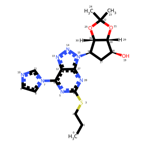 CCCSc1nc(-n2ccnc2)c2nnn([C@@H]3C[C@H](O)[C@H]4OC(C)(C)O[C@H]43)c2n1